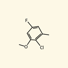 COc1cc(F)cc(C)c1Cl